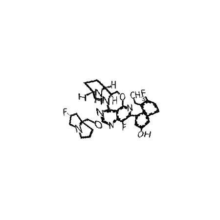 CCc1c(F)ccc2cc(O)cc(-c3nc4c5c(nc(OC[C@@]67CCCN6C[C@H](F)C7)nc5c3F)N3C[C@@H]5CC[C@@H](N5)[C@H]3CO4)c12